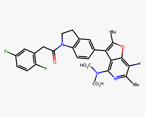 CC(C)(C)c1nc(N(C(=O)O)C(=O)O)c2c(-c3ccc4c(c3)CCN4C(=O)Cc3cc(F)ccc3F)c(C(C)(C)C)oc2c1I